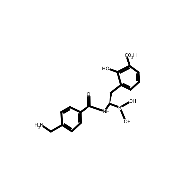 NCc1ccc(C(=O)N[C@@H](Cc2cccc(C(=O)O)c2O)B(O)O)cc1